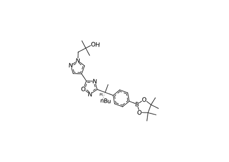 CCCC[C@](C)(c1ccc(B2OC(C)(C)C(C)(C)O2)cc1)c1noc(-c2cnn(CC(C)(C)O)c2)n1